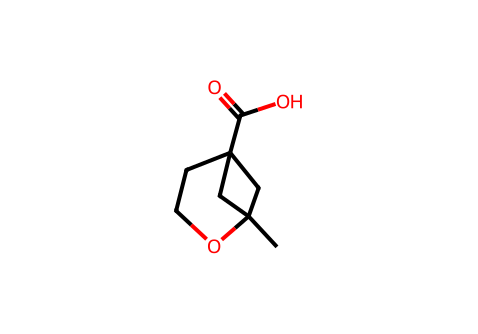 CC12CC(C(=O)O)(CCO1)C2